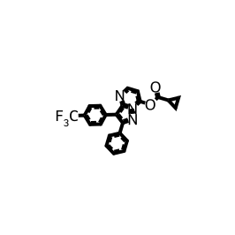 O=C(Oc1ccnc2c(-c3ccc(C(F)(F)F)cc3)c(-c3ccccc3)nn12)C1CC1